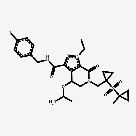 CCn1nc(C(=O)NCc2ccc(Cl)cc2)c2c1C(=O)N(CC1(S(=O)(=O)C3(C)CC3)CC1)CC2OC(C)N